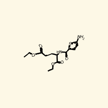 CCOC(=O)CCC(NC(=O)c1ccc(N)s1)C(=O)OCC